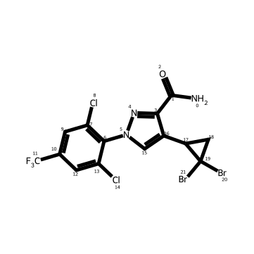 NC(=O)c1nn(-c2c(Cl)cc(C(F)(F)F)cc2Cl)cc1C1CC1(Br)Br